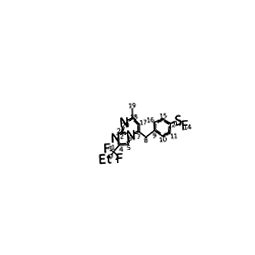 CCC(F)(F)c1cn2c(Cc3ccc(SF)cc3)cc(C)nc2n1